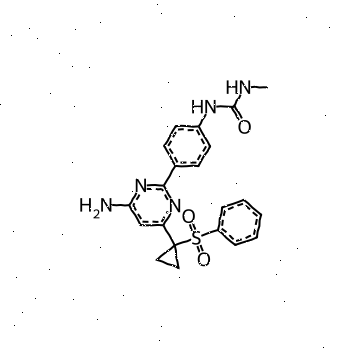 CNC(=O)Nc1ccc(-c2nc(N)cc(C3(S(=O)(=O)c4ccccc4)CC3)n2)cc1